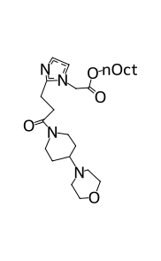 CCCCCCCCOC(=O)Cn1ccnc1CCC(=O)N1CCC(N2CCOCC2)CC1